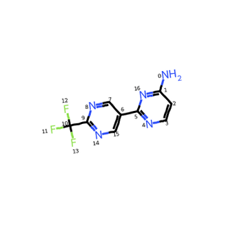 Nc1ccnc(-c2cnc(C(F)(F)F)nc2)n1